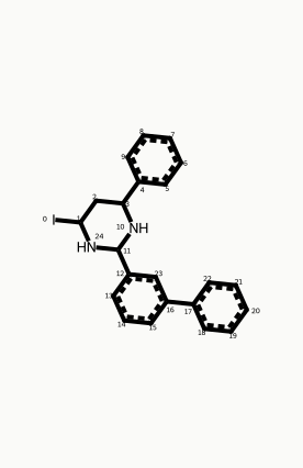 IC1CC(c2ccccc2)NC(c2cccc(-c3ccccc3)c2)N1